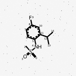 C=S(C)(=O)Nc1ccc(F)cc1C(C)C